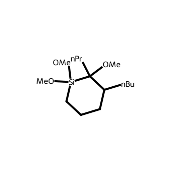 CCCCC1CCC[Si](OC)(OC)C1(CCC)OC